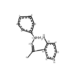 CC(=NNc1ccccc1)c1cnccc1N